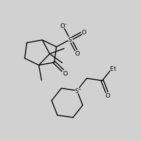 CC12CCC(C(S(=O)(=O)[O-])C1=O)C2(C)C.CCC(=O)C[S+]1CCCCC1